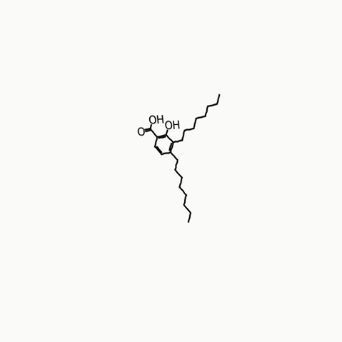 CCCCCCCCc1ccc(C(=O)O)c(O)c1CCCCCCCC